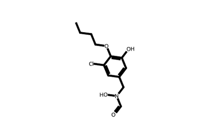 CCCCOc1c(O)cc(CN(O)C=O)cc1Cl